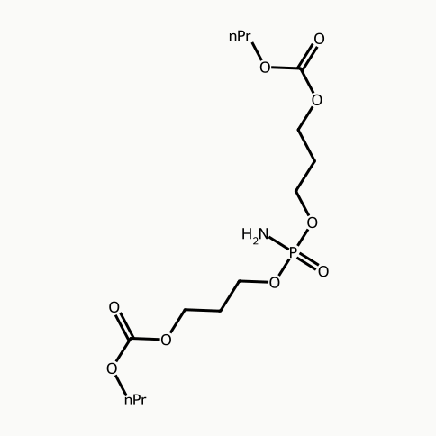 CCCOC(=O)OCCCOP(N)(=O)OCCCOC(=O)OCCC